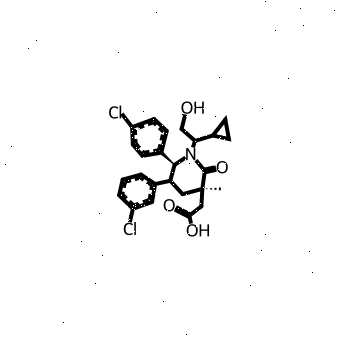 C[C@]1(CC(=O)O)CC(c2cccc(Cl)c2)[C@@H](c2ccc(Cl)cc2)N(C(CO)C2CC2)C1=O